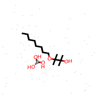 CCCCCCCCOC(C)(C)C(C)(C)O.OB(O)O